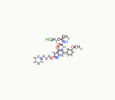 COc1cccc(-c2cn3nc(OCCCN4CCCCC4)cc3c(=O)n2CC(=O)NC(C)C)c1.Cl